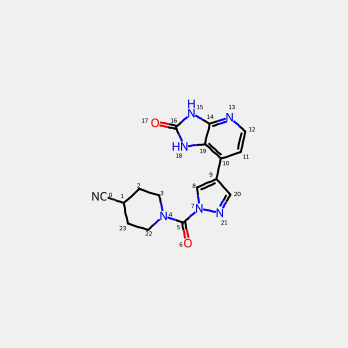 N#CC1CCN(C(=O)n2cc(-c3ccnc4[nH]c(=O)[nH]c34)cn2)CC1